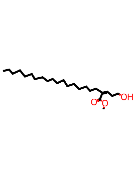 CCCCCCCCCCCCCCCCCCC(=CCCO)C(=O)OC